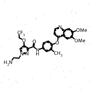 COc1cc2nccc(Oc3ccc(NC(=O)c4nn(CCN)cc4OCC(F)(F)F)cc3C)c2cc1OC